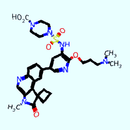 CN(C)CCCOc1ncc(-c2ccc3ncc4c(c3c2)C2(CCC2)C(=O)N4C)cc1NS(=O)(=O)N1CCN(C(=O)O)CC1